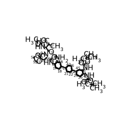 COC(=O)N[C@H](C(=O)N1CC2(C[C@H]1C(=O)Nc1ccc(-c3ccc(-c4ccc(NC(=O)OC(C)(C)C)c(NC(=O)OC(C)(C)C)c4)cc3)cc1N)OCCO2)C(C)C